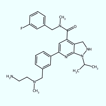 CC(C)N1NCc2c(C(=O)N(C)Cc3cccc(F)c3)cc(-c3cccc(CN(C)CCN)c3)nc21